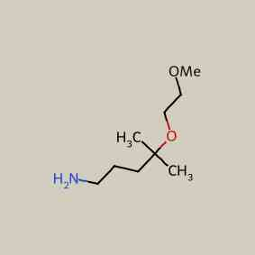 COCCOC(C)(C)CCCN